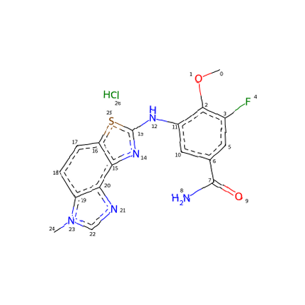 COc1c(F)cc(C(N)=O)cc1Nc1nc2c(ccc3c2ncn3C)s1.Cl